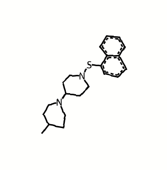 CC1CCN(C2CCN(Sc3cccc4ccccc34)CC2)CC1